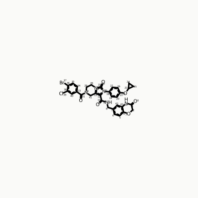 O=C1COc2ccc(CNC(=O)c3c4n(c(=O)n3-c3ccc(OC5CC5)cc3)CCN(C(=O)c3ccc(Br)c(Cl)c3)C4)cc2N1